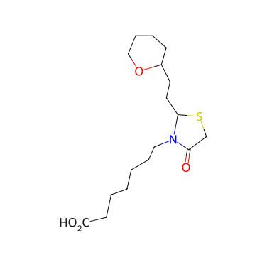 O=C(O)CCCCCCN1C(=O)CSC1CCC1CCCCO1